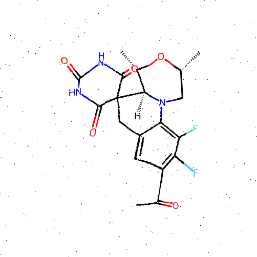 CC(=O)c1cc2c(c(F)c1F)N1C[C@@H](C)O[C@@H](C)[C@@H]1C1(C2)C(=O)NC(=O)NC1=O